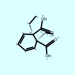 CC[C@]1(C(=O)O)C=CC=C[C@@]1(CC)C(=O)O